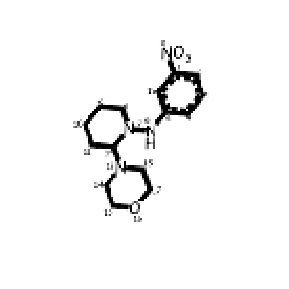 O=[N+]([O-])c1cccc(NN2CCCCC2N2CCOCC2)c1